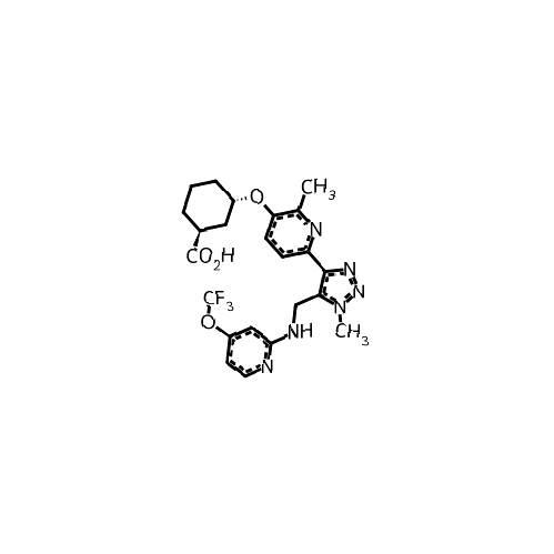 Cc1nc(-c2nnn(C)c2CNc2cc(OC(F)(F)F)ccn2)ccc1O[C@H]1CCC[C@H](C(=O)O)C1